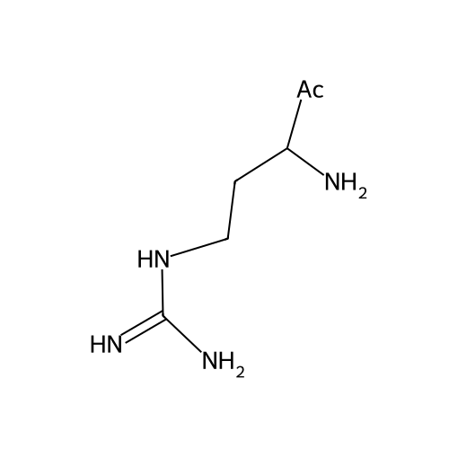 CC(=O)C(N)CCNC(=N)N